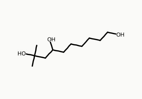 CC(C)(O)CC(O)CCCCCCO